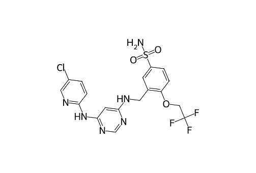 NS(=O)(=O)c1ccc(OCC(F)(F)F)c(CNc2cc(Nc3ccc(Cl)cn3)ncn2)c1